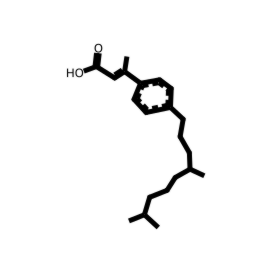 CC(=CC(=O)O)c1ccc(CCCC(C)CCCC(C)C)cc1